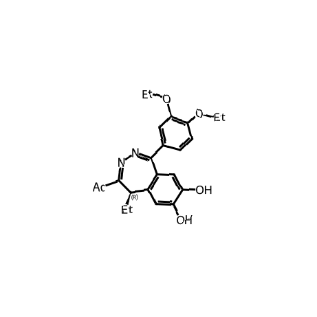 CCOc1ccc(C2=NN=C(C(C)=O)[C@H](CC)c3cc(O)c(O)cc32)cc1OCC